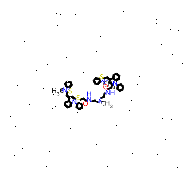 CN(CCCNC(=O)CCSC1=C/C(=C\c2sc3ccccc3[n+]2C)c2ccccc2N1c1ccccc1)CCCNC(=O)CC1=C/C(=C\c2sc3ccccc3[n+]2C)c2ccccc2N1c1ccccc1